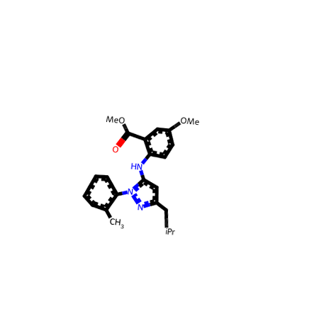 COC(=O)c1cc(OC)ccc1Nc1cc(CC(C)C)nn1-c1ccccc1C